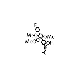 COCOc1c(OC)c(-c2ccc(F)cc2)cc(OC)c1-c1ccc(OCC=C(C)C)c(O)c1